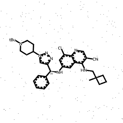 CC1(CNc2c(C#N)cnc3c(Cl)cc(N[C@@H](c4ccccc4)c4cn(C5CCN(C(C)(C)C)CC5)nn4)cc23)CCC1